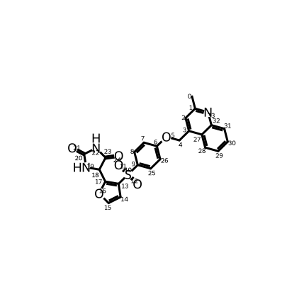 Cc1cc(COc2ccc(S(=O)(=O)c3ccoc3C3NC(=O)NC3=O)cc2)c2ccccc2n1